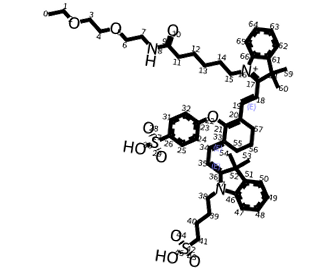 CCOCCOCCNC(=O)CCCCC[N+]1=C(/C=C/C2=C(Oc3ccc(S(=O)(=O)O)cc3)C(=C/C=C3/N(CCCCS(=O)(=O)O)c4ccccc4C3(C)C)/CCC2)C(C)(C)c2ccccc21